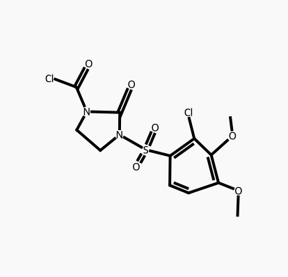 COc1ccc(S(=O)(=O)N2CCN(C(=O)Cl)C2=O)c(Cl)c1OC